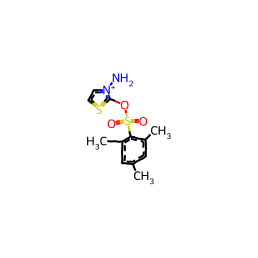 Cc1cc(C)c(S(=O)(=O)Oc2scc[n+]2N)c(C)c1